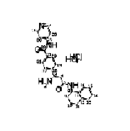 Cl.Cl.N[C@@H](CC(=O)N[C@@H]1CCCc2ccccc21)c1ccc(C(=O)Nc2ccncc2)cc1